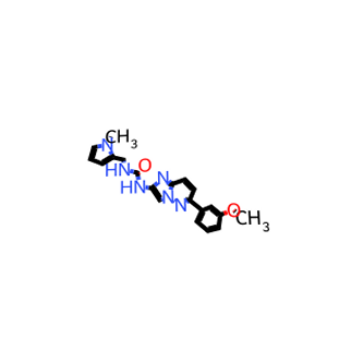 COc1cccc(-c2ccc3nc(NC(=O)NCc4cccn4C)cn3n2)c1